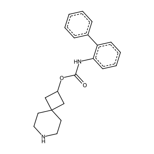 O=C(Nc1ccccc1-c1ccccc1)OC1CC2(CCNCC2)C1